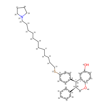 Oc1ccc2c(c1)[C@H](c1ccc(SCCCCCCCCCCCCN3CCCC3)cc1)[C@H](c1ccccc1)CO2